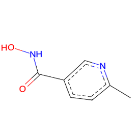 Cc1ccc(C(=O)NO)cn1